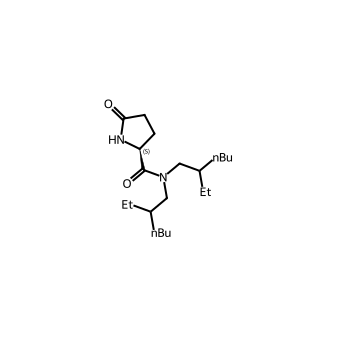 CCCCC(CC)CN(CC(CC)CCCC)C(=O)[C@@H]1CCC(=O)N1